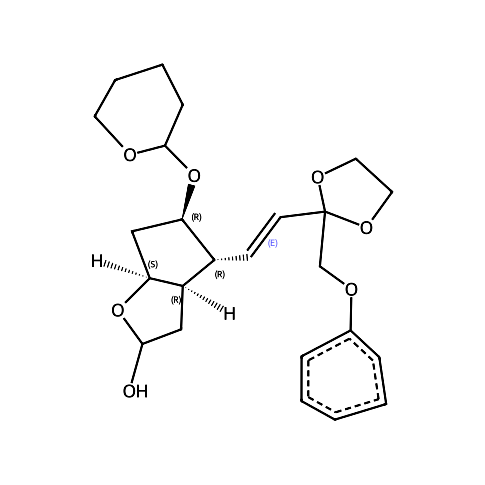 OC1C[C@@H]2[C@@H](/C=C/C3(COc4ccccc4)OCCO3)[C@H](OC3CCCCO3)C[C@@H]2O1